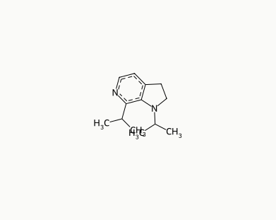 CC(C)c1nccc2c1N(C(C)C)CC2